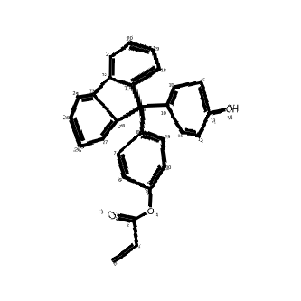 C=CC(=O)Oc1ccc(C2(c3ccc(O)cc3)c3ccccc3-c3ccccc32)cc1